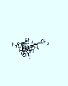 CCCCCCC[C@@]1(OC)O[C@@](C(=O)OC)(/C(=C\C(=O)OC)C(=O)OC)[C@H](O)[C@H]1O